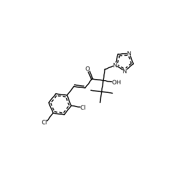 CC(C)(C)C(O)(Cn1cncn1)C(=O)/C=C/c1ccc(Cl)cc1Cl